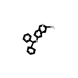 Bc1cc2cc(N=C(c3ccccc3)c3ccccc3)ccc2cn1